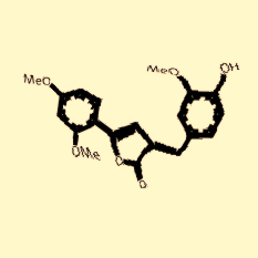 COc1ccc(C2=C/C(=C\c3ccc(O)c(OC)c3)C(=O)O2)c(OC)c1